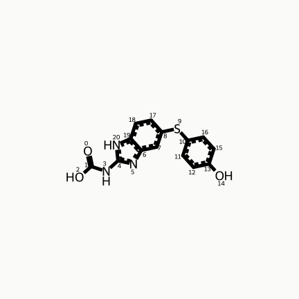 O=C(O)Nc1nc2cc(Sc3ccc(O)cc3)ccc2[nH]1